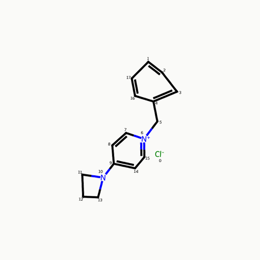 [Cl-].c1ccc(C[n+]2ccc(N3CCC3)cc2)cc1